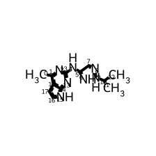 Cc1nc(NC(=N)/C=N\NC(C)C)nc2[nH]ccc12